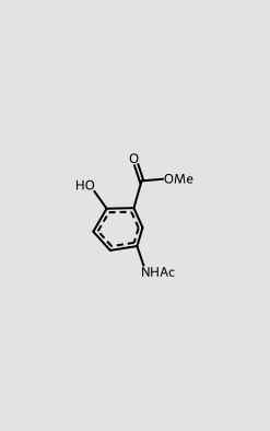 COC(=O)c1cc(NC(C)=O)ccc1O